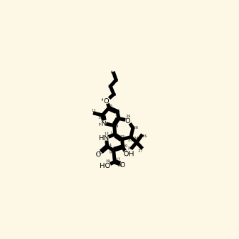 CCCCOc1cc2c(nc1C)-c1[nH]c(=O)c(C(=O)O)c(O)c1C(C(C)(C)C)CO2